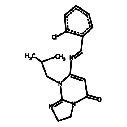 CC(C)CN1C(N=Cc2ccccc2Cl)=CC(=O)N2CCN=C21